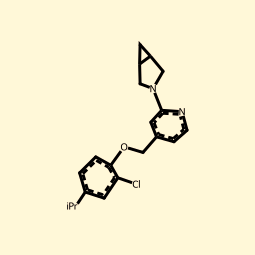 CC(C)c1ccc(OCc2ccnc(N3CC4CC4C3)c2)c(Cl)c1